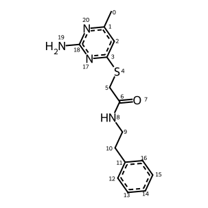 Cc1cc(SCC(=O)NCCc2ccccc2)nc(N)n1